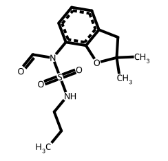 CCCNS(=O)(=O)N(C=O)c1cccc2c1OC(C)(C)C2